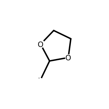 [CH2]C1OCCO1